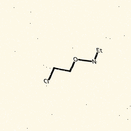 CC[N]OCCCl